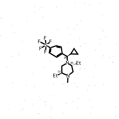 CC[C@H]1CN([C@@H](c2ccc(S(F)(F)(F)(F)F)cc2)C2CC2)[C@H](CC)CN1C